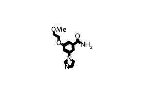 COCCOc1cc(C(N)=O)cc(-n2ccnc2)c1